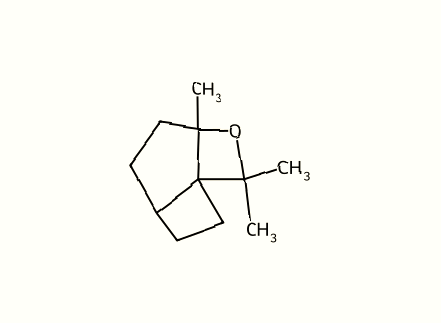 CC1(C)OC2(C)CCC3CCC312